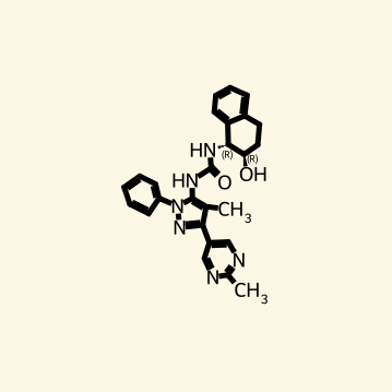 Cc1ncc(-c2nn(-c3ccccc3)c(NC(=O)N[C@@H]3c4ccccc4CC[C@H]3O)c2C)cn1